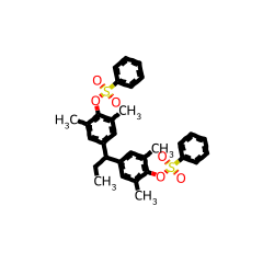 CCC(c1cc(C)c(OS(=O)(=O)c2ccccc2)c(C)c1)c1cc(C)c(OS(=O)(=O)c2ccccc2)c(C)c1